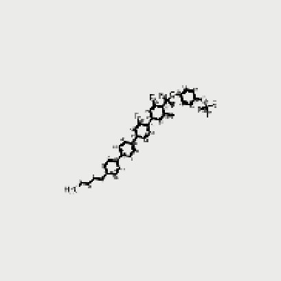 CCCCCc1ccc(-c2ccc(-c3ccc(-c4cc(F)c(C(F)(F)Oc5ccc(OC(F)(F)F)cc5)c(F)c4)c(F)c3)cc2)cc1